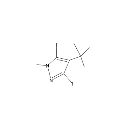 Cn1nc(I)c(C(C)(C)C)c1I